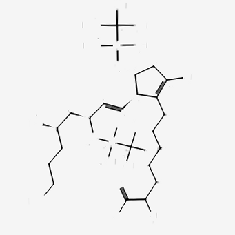 CCCC[C@@H](C)C[C@@H](/C=C/[C@@H]1C(CCCCCC(C)C(=O)O)=C(C)C[C@H]1O[Si](C)(C)C(C)(C)C)O[Si](C)(C)C(C)(C)C